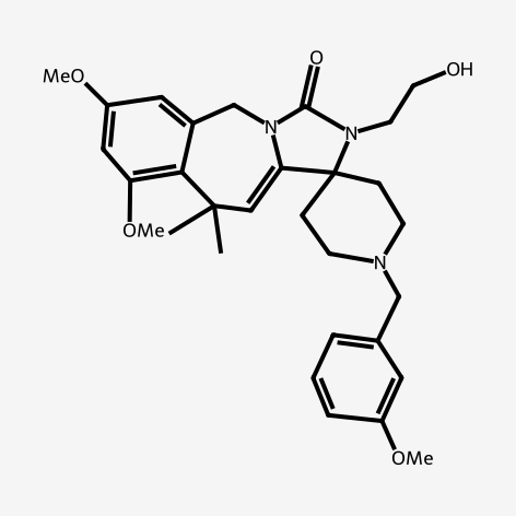 COc1cccc(CN2CCC3(CC2)C2=CC(C)(C)c4c(cc(OC)cc4OC)CN2C(=O)N3CCO)c1